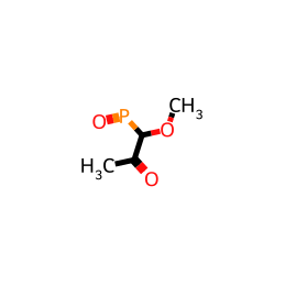 COC(P=O)C(C)=O